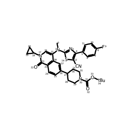 CN(c1nc(-c2ccc(F)cc2)c(C#N)s1)c1cn(C2CC2)c(=O)c2ccc(C3CCN(C(=O)OC(C)(C)C)CC3)cc12